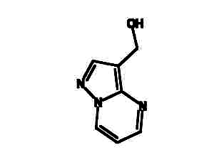 OCc1cnn2cccnc12